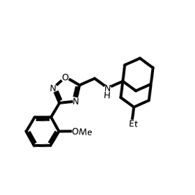 CCC1CC2CCCC(NCc3nc(-c4ccccc4OC)no3)(C1)C2